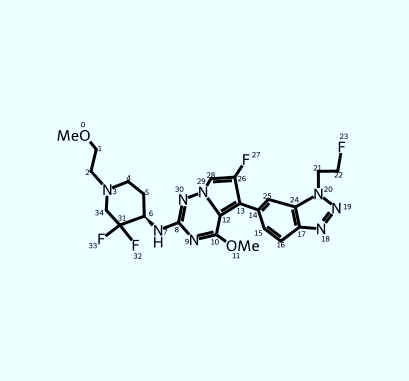 COCCN1CC[C@@H](Nc2nc(OC)c3c(-c4ccc5nnn(CCF)c5c4)c(F)cn3n2)C(F)(F)C1